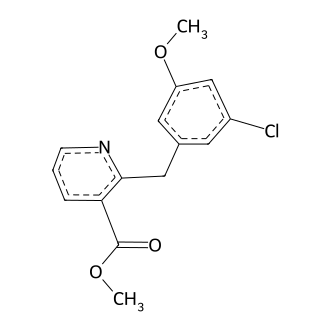 COC(=O)c1cccnc1Cc1cc(Cl)cc(OC)c1